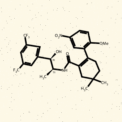 COc1ccc([N+](=O)[O-])cc1C1=C(C(=O)N[C@@H](C)[C@H](O)c2cc(C(F)(F)F)cc(C(F)(F)F)c2)CC(C)(C)CC1